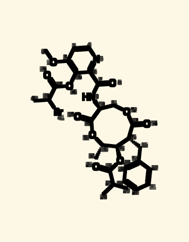 COc1ccnc(C(=O)N[C@H]2COC(=O)[C@H](Cc3ccccc3)[C@@H](OC(=O)C(C)C)[C@H](C)OC2=O)c1OC(=O)C(C)Br